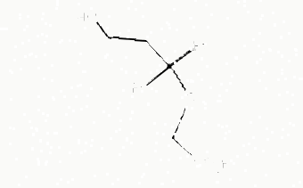 CCC(CC)(CCO)OCC(=O)O